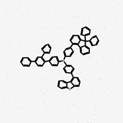 c1ccc(-c2ccc(-c3ccc(N(c4ccc(-c5cccc6c5-c5ccccc5C6(c5ccccc5)c5ccccc5)cc4)c4ccc(-c5cccc6oc7ccccc7c56)cc4)cc3)c(-c3ccccc3)c2)cc1